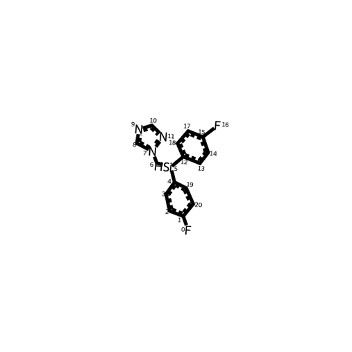 Fc1ccc([SiH](Cn2cncn2)c2ccc(F)cc2)cc1